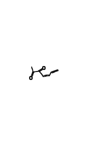 C=C/C=C\C(=O)C(C)=O